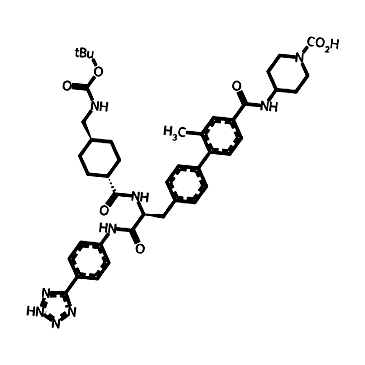 Cc1cc(C(=O)NC2CCN(C(=O)O)CC2)ccc1-c1ccc(C[C@H](NC(=O)[C@H]2CC[C@H](CNC(=O)OC(C)(C)C)CC2)C(=O)Nc2ccc(-c3nn[nH]n3)cc2)cc1